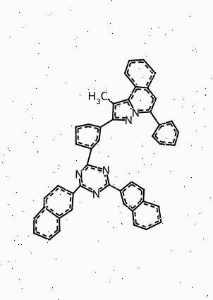 Cc1c(-c2cccc(-c3nc(-c4ccc5ccccc5c4)nc(-c4ccc5ccccc5c4)n3)c2)nn2c(-c3ccccc3)cc3ccccc3c12